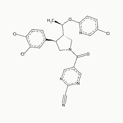 C[C@@H](Oc1ccc(Cl)cn1)[C@@H]1CN(C(=O)c2cnc(C#N)nc2)C[C@H]1c1ccc(Cl)c(Cl)c1